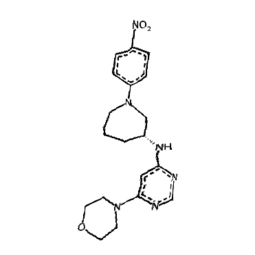 O=[N+]([O-])c1ccc(N2CCC[C@@H](Nc3cc(N4CCOCC4)ncn3)C2)cc1